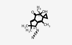 CC1=C2C(=CC(C)(C)[C@H]2N=[N+]=[N-])C(=O)[C@](C)(O)C12CC2